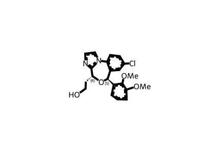 COc1cccc([C@H]2O[C@H](CCO)c3nccn3-c3ccc(Cl)cc32)c1OC